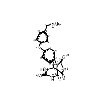 CC(=O)NCc1ccc(Oc2ccc(N3C(=O)NC(=O)C34C(=O)NC(=O)NC4=O)cn2)cc1